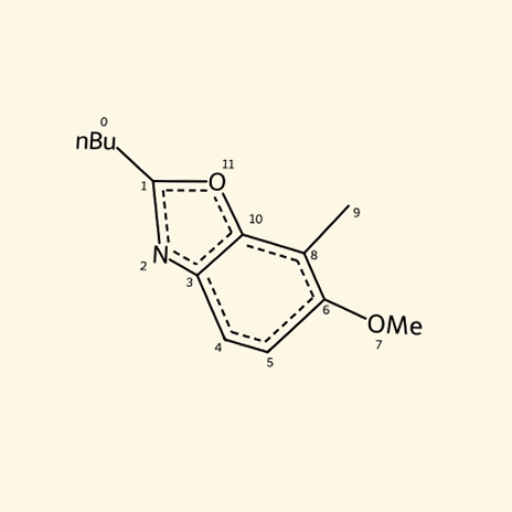 CCCCc1nc2ccc(OC)c(C)c2o1